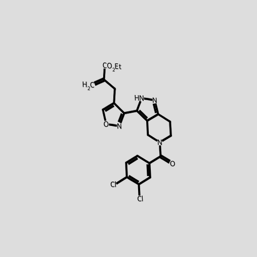 C=C(Cc1conc1-c1[nH]nc2c1CN(C(=O)c1ccc(Cl)c(Cl)c1)CC2)C(=O)OCC